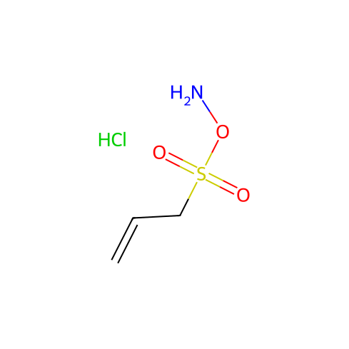 C=CCS(=O)(=O)ON.Cl